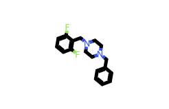 Fc1cccc(F)c1CN1CCN(Cc2ccccc2)CC1